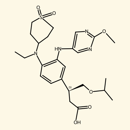 CCN(c1ccc([C@@H](COC(C)C)CC(=O)O)cc1Nc1cnc(OC)nc1)C1CCS(=O)(=O)CC1